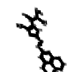 Cc1cc(N=Nc2cc3c4c(c2)CCCN4CCC3)sc1C(=O)C(C)O